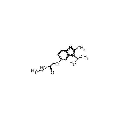 CCNC(=O)COc1ccc2nc(C)n(C(C)C)c2c1